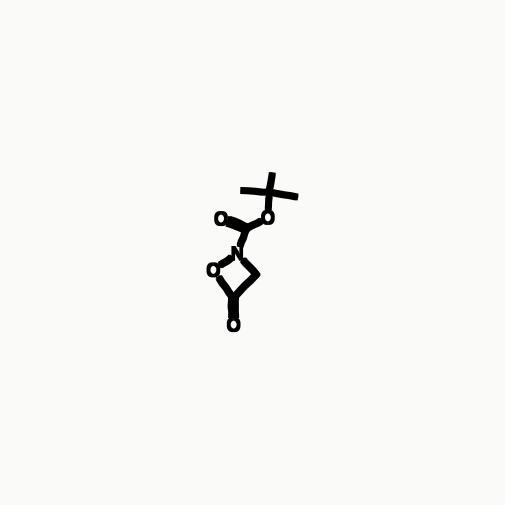 CC(C)(C)OC(=O)N1CC(=O)O1